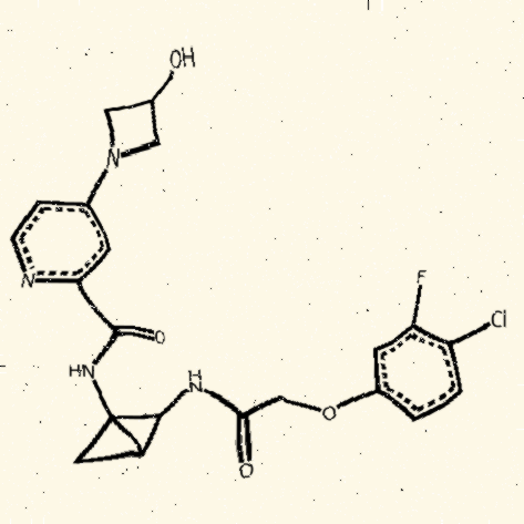 O=C(COc1ccc(Cl)c(F)c1)NC1C2CC21NC(=O)c1cc(N2CC(O)C2)ccn1